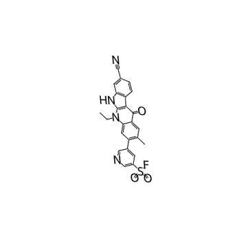 CCn1c2cc(-c3cncc(S(=O)(=O)F)c3)c(C)cc2c(=O)c2c3ccc(C#N)cc3[nH]c21